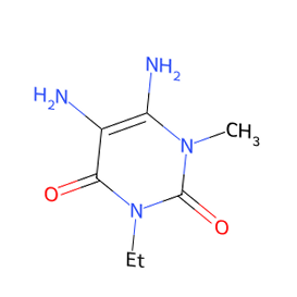 CCn1c(=O)c(N)c(N)n(C)c1=O